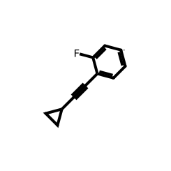 Fc1c[c]ccc1C#CC1CC1